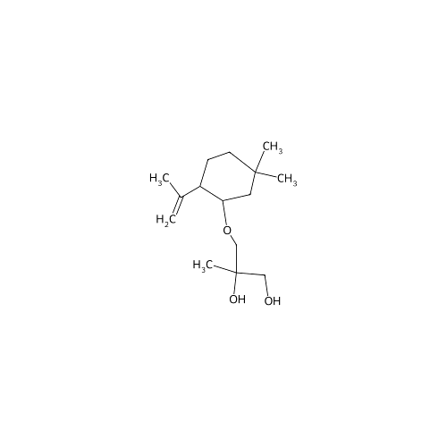 C=C(C)C1CCC(C)(C)CC1OCC(C)(O)CO